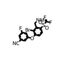 CNCc1c(S(=O)(=O)C(F)F)ccc(Oc2cc(F)cc(C#N)c2)c1Br